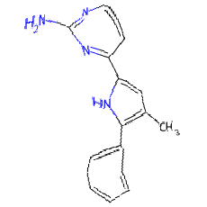 Cc1cc(-c2ccnc(N)n2)[nH]c1-c1ccccc1